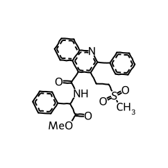 COC(=O)C(NC(=O)c1c(CCS(C)(=O)=O)c(-c2ccccc2)nc2ccccc12)c1ccccc1